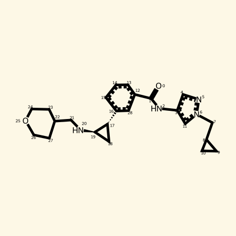 O=C(Nc1cnn(CC2CC2)c1)c1cccc([C@@H]2C[C@H]2NCC2CCOCC2)c1